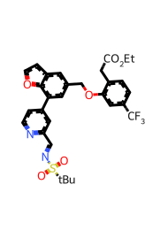 CCOC(=O)Cc1ccc(C(F)(F)F)cc1OCc1cc(-c2ccnc(C=NS(=O)(=O)C(C)(C)C)c2)c2occc2c1